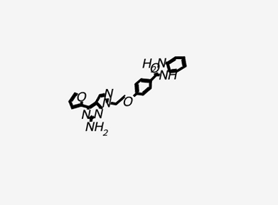 Nc1nc(-c2ccco2)c2cnn(CCOc3ccc(C(=O)Nc4ccccc4N)cc3)c2n1